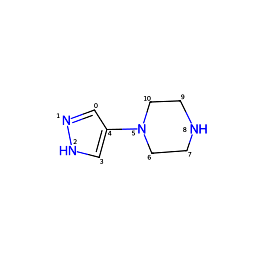 c1n[nH]cc1N1CCNCC1